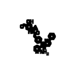 Nc1ncccc1-c1nc2ccc(-c3ccccc3)nc2n1-c1ccc(CC(=O)NC2(c3ccc(C=O)c(O)c3)CC2)cc1